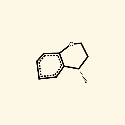 C[C@H]1CCOc2ccccc21